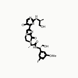 COc1cc(F)cc([C@@H](CO)NC(=O)[C@H](C)N2CCn3cc(-c4nc(N[C@@H](C)CO)ncc4Cl)nc3C2=O)c1